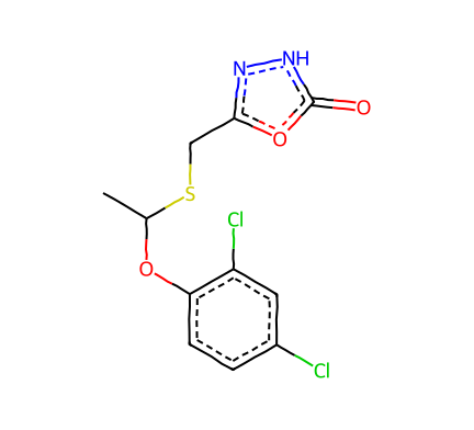 CC(Oc1ccc(Cl)cc1Cl)SCc1n[nH]c(=O)o1